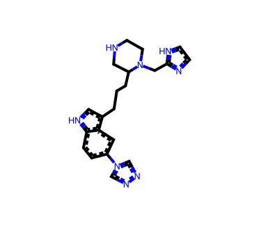 c1c[nH]c(CN2CCNCC2CCCc2c[nH]c3ccc(-n4cnnc4)cc23)n1